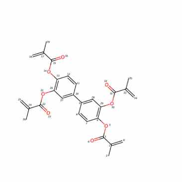 C=C(C)C(=O)Oc1ccc(-c2ccc(OC(=O)C(=C)C)c(OC(=O)C(=C)C)c2)cc1OC(=O)C(=C)C